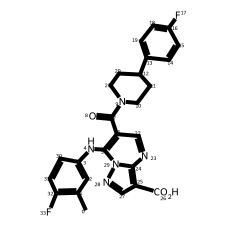 Cc1cc(Nc2c(C(=O)N3CCC(c4ccc(F)cc4)CC3)cnc3c(C(=O)O)cnn23)ccc1F